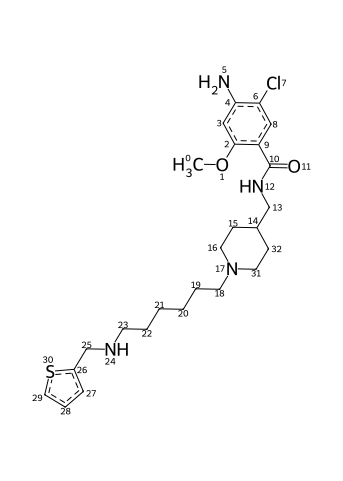 COc1cc(N)c(Cl)cc1C(=O)NCC1CCN(CCCCCCNCc2cccs2)CC1